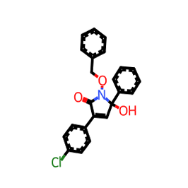 O=C1C(c2ccc(Cl)cc2)=CC(O)(c2ccccc2)N1OCc1ccccc1